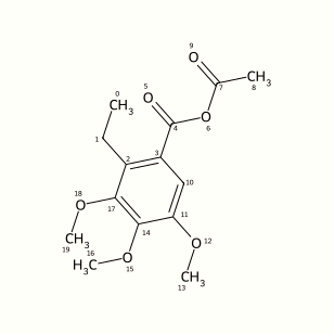 CCc1c(C(=O)OC(C)=O)cc(OC)c(OC)c1OC